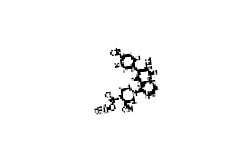 CC(C)(C)OC(=O)N1CCN(c2ncnc3cc(Cl)c(-c4ccc(Cl)cc4)cc23)CC1C#N